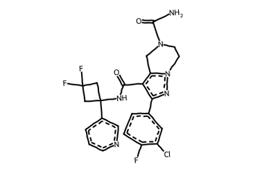 NC(=O)N1CCn2nc(-c3ccc(F)c(Cl)c3)c(C(=O)NC3(c4cccnc4)CC(F)(F)C3)c2C1